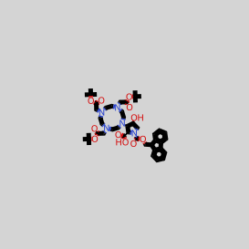 CC(C)(C)OC(=O)CN1CCN(CC(=O)OC(C)(C)C)CCN([C@@H]2[C@@H](O)CN(C(=O)OCC3c4ccccc4-c4ccccc43)[C@H]2C(=O)O)CCN(CC(=O)OC(C)(C)C)CC1